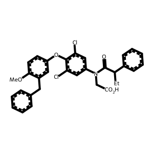 CCC(C(=O)N(CC(=O)O)c1cc(Cl)c(Oc2ccc(OC)c(Cc3ccccc3)c2)c(Cl)c1)c1ccccc1